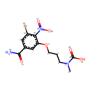 CN(CCCOc1cc(C(N)=O)cc(Br)c1[N+](=O)[O-])C(=O)O